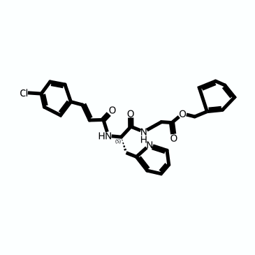 O=C(C=Cc1ccc(Cl)cc1)N[C@@H](Cc1ccccn1)C(=O)NCC(=O)OCc1ccccc1